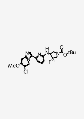 COc1cc2ncc(-c3cccc(NC4CN(C(=O)OC(C)(C)C)C[C@@H]4F)n3)n2cc1Cl